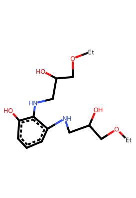 CCOCC(O)CNc1cccc(O)c1NCC(O)COCC